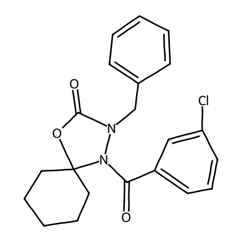 O=C1OC2(CCCCC2)N(C(=O)c2cccc(Cl)c2)N1Cc1ccccc1